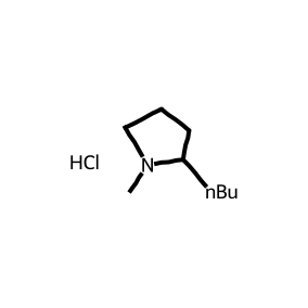 CCCCC1CCCN1C.Cl